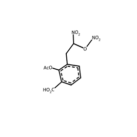 CC(=O)Oc1c(CC(O[N+](=O)[O-])[N+](=O)[O-])cccc1C(=O)O